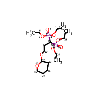 CCOP(=O)(OCC)C(CCOC1CCCCO1)P(=O)(OCC)OCC